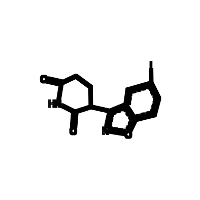 O=C1CCC(c2noc3ccc(I)cc23)C(=O)N1